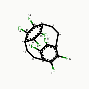 Fc1c(F)c2c(F)c(F)c1CCc1c(F)c(F)c(c(F)c1F)CC2